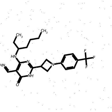 CCCCC(CC)Nc1nc(C2CN(c3ccc(C(F)(F)F)cc3)C2)[nH]c(=O)c1C=N